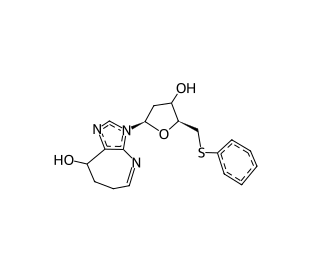 OC1CCC=Nc2c1ncn2[C@H]1CC(O)[C@@H](CSc2ccccc2)O1